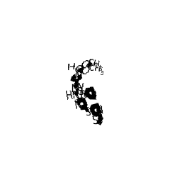 CC(C)(C)OC(=O)N1CCC(c2nsc(Nc3ncc(Sc4ccnc5ccsc45)cc3Oc3ccccc3)n2)C1